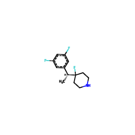 C[C@H](c1cc(F)cc(F)c1)C1(F)CCNCC1